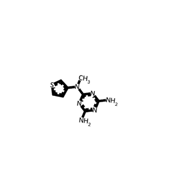 CN(c1ccsc1)c1nc(N)nc(N)n1